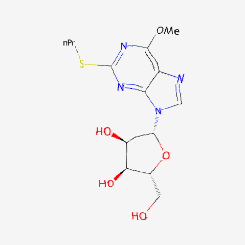 CCCSc1nc(OC)c2ncn([C@@H]3O[C@H](CO)[C@@H](O)[C@H]3O)c2n1